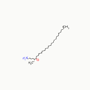 CCCCCCCCCCCCCCCCCCCCCC(=O)C(CC)CCCCN